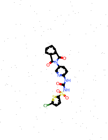 O=C(Nc1ccc(N2C(=O)c3ccccc3C2=O)cn1)NS(=O)(=O)c1ccc(Cl)s1